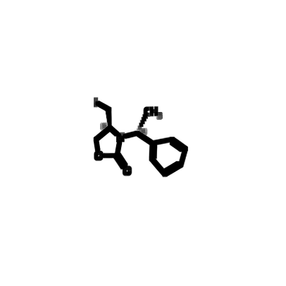 C[C@H](c1ccccc1)N1C(=O)OC[C@H]1CI